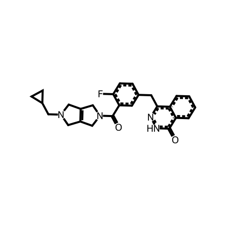 O=C(c1cc(Cc2n[nH]c(=O)c3ccccc23)ccc1F)N1CC2=C(CN(CC3CC3)C2)C1